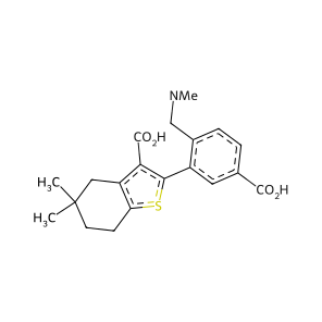 CNCc1ccc(C(=O)O)cc1-c1sc2c(c1C(=O)O)CC(C)(C)CC2